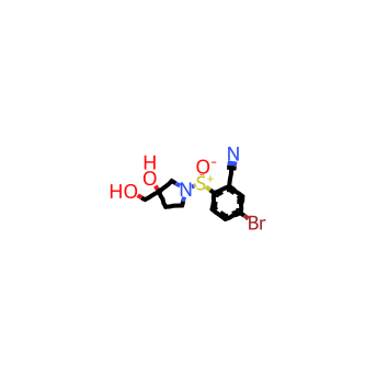 N#Cc1cc(Br)ccc1[S+]([O-])N1CCC(O)(CO)C1